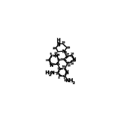 Nc1cc(N)c(-c2cnccn2)c(-c2cncc(N3CCNCC3)c2)n1